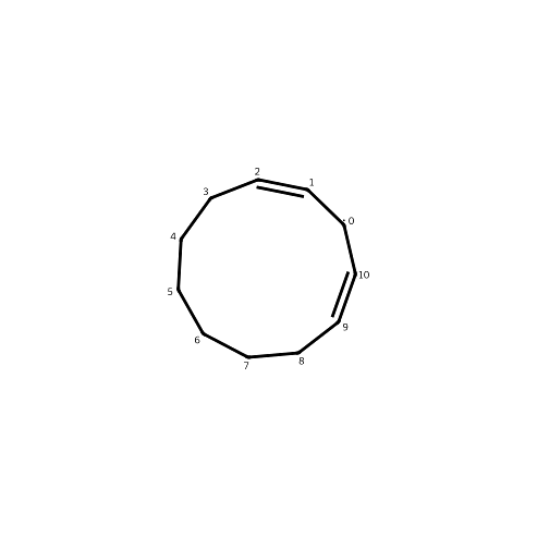 [CH]1/C=C\CCCCCC/C=C\1